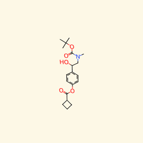 CN(CC(O)c1ccc(OC(=O)C2CCC2)cc1)C(=O)OC(C)(C)C